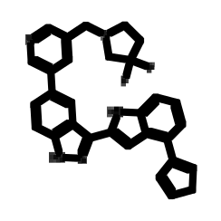 FC1(F)CCN(Cc2cncc(-c3ccc4[nH]nc(-c5cc6c(C7=CCC=C7)cccc6[nH]5)c4c3)c2)C1